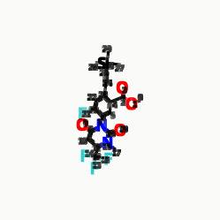 COC(=O)c1cc(-n2c(=O)cc(C(F)(F)F)n(C)c2=O)c(F)cc1C#C[Si](C)(C)C